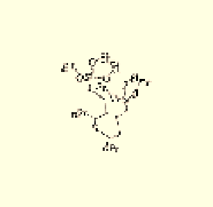 CCCC(CCC[Si](OCC)(OCC)OCC)SC(CCC)CCC[Si](OCC)(OCC)OCC